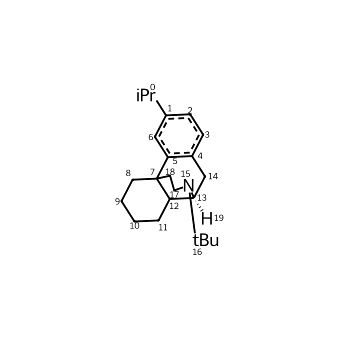 CC(C)c1ccc2c(c1)C13CCCCC1[C@H](C2)N(C(C)(C)C)CC3